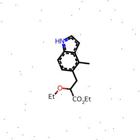 CCOC(=O)C(Cc1ccc2[nH]ccc2c1C)OCC